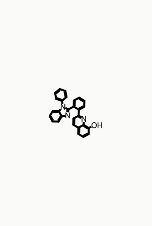 Oc1cccc2ccc(-c3ccccc3-c3nc4ccccc4n3-c3ccccc3)nc12